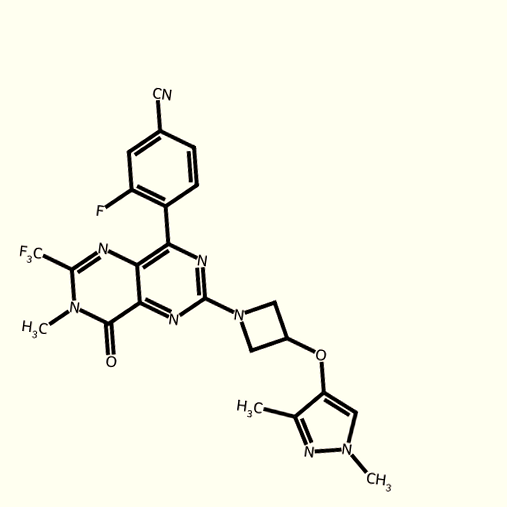 Cc1nn(C)cc1OC1CN(c2nc(-c3ccc(C#N)cc3F)c3nc(C(F)(F)F)n(C)c(=O)c3n2)C1